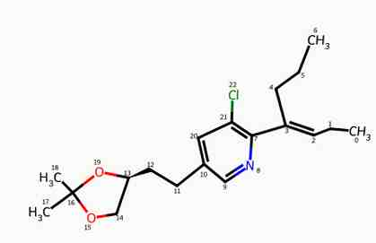 CC/C=C(\CCC)c1ncc(CC[C@H]2COC(C)(C)O2)cc1Cl